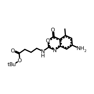 Cc1cc(N)cc2nc(NCCCC(=O)OC(C)(C)C)oc(=O)c12